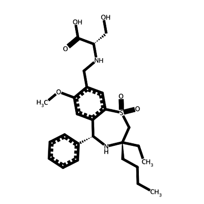 CCCC[C@]1(CC)CS(=O)(=O)c2cc(CN[C@@H](CO)C(=O)O)c(OC)cc2[C@@H](c2ccccc2)N1